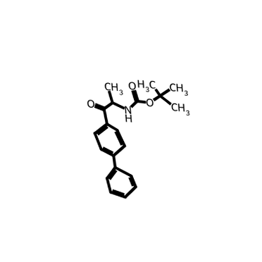 CC(NC(=O)OC(C)(C)C)C(=O)c1ccc(-c2ccccc2)cc1